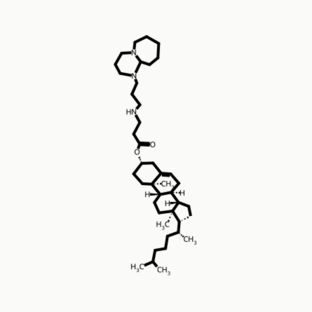 CC(C)CCC[C@@H](C)[C@H]1CC[C@H]2[C@@H]3CC=C4C[C@@H](OC(=O)CCNCCCN5CCCN6CCCCCC65)CC[C@]4(C)[C@H]3CC[C@]12C